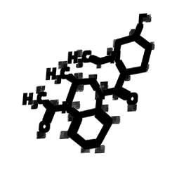 CCN1CC(F)CCC1C(=O)N1C[C@H](C)N(C(C)=O)c2ccccc21